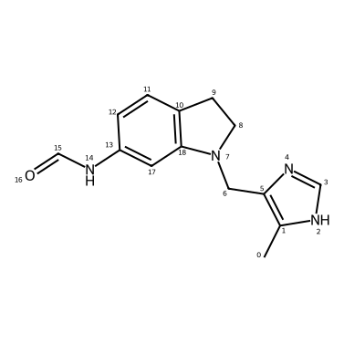 Cc1[nH]cnc1CN1CCc2ccc(NC=O)cc21